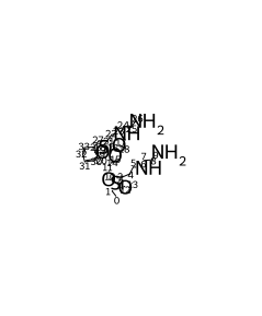 CC[Si](CCCNCCN)(OC)OC.CO[Si](OC)(OC)C(CNCCN)Cc1ccccc1